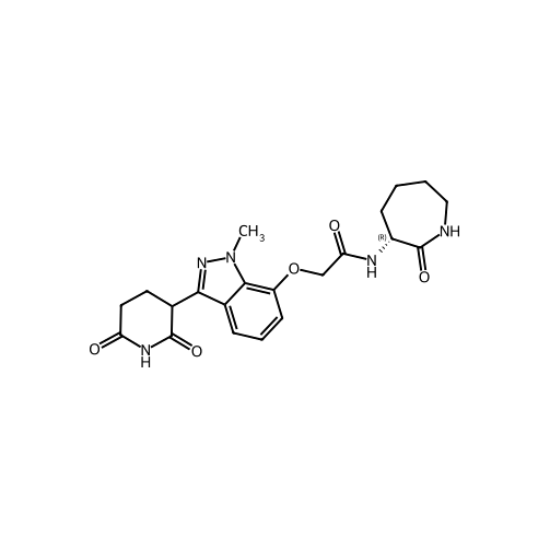 Cn1nc(C2CCC(=O)NC2=O)c2cccc(OCC(=O)N[C@@H]3CCCCNC3=O)c21